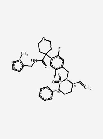 C=C[C@H]1CC[C@H](c2ccccc2)S(=O)(=O)N1Cc1cc(F)c(C2(C(=O)NCc3ccnn3C)CCOCC2)cc1F